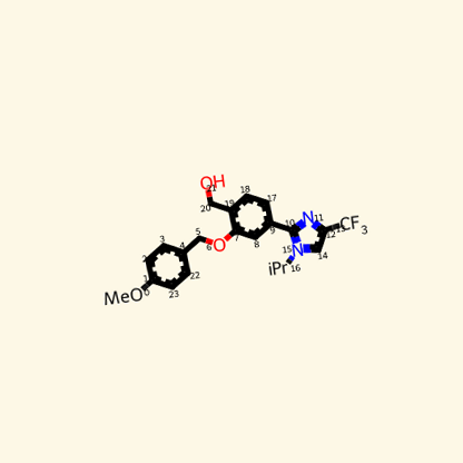 COc1ccc(COc2cc(-c3nc(C(F)(F)F)cn3C(C)C)ccc2CO)cc1